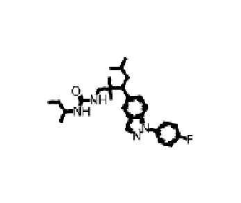 CCC(C)NC(=O)NCC(C)(C)C(CC(C)C)c1ccc2c(cnn2-c2ccc(F)cc2)c1